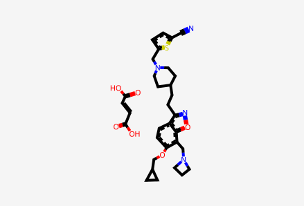 N#Cc1ccc(CN2CCC(CCc3noc4c(CN5CCC5)c(OCC5CC5)ccc34)CC2)s1.O=C(O)C=CC(=O)O